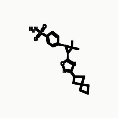 CC1(C)[C@H](c2ccc(S(N)(=O)=O)cc2)[C@H]1c1nc(C2CC3(CCC3)C2)no1